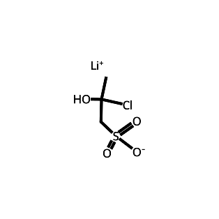 CC(O)(Cl)CS(=O)(=O)[O-].[Li+]